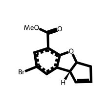 COC(=O)c1cc(Br)cc2c1OC1CC=C[C@H]21